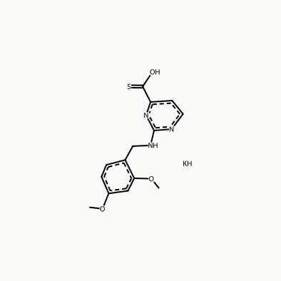 COc1ccc(CNc2nccc(C(O)=S)n2)c(OC)c1.[KH]